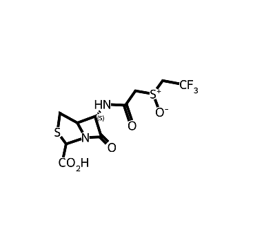 O=C(C[S+]([O-])CC(F)(F)F)N[C@@H]1C(=O)N2C(C(=O)O)SCC12